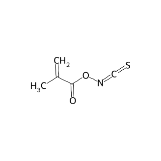 C=C(C)C(=O)ON=C=S